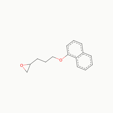 c1ccc2c(OCCCC3CO3)cccc2c1